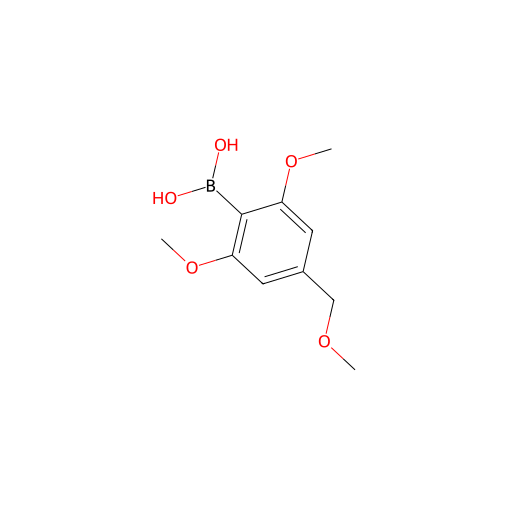 COCc1cc(OC)c(B(O)O)c(OC)c1